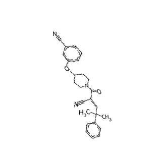 CC(C)(/C=C(\C#N)C(=O)N1CCC(Oc2cccc(C#N)c2)CC1)c1ccccc1